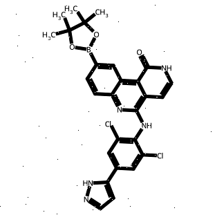 CC1(C)OB(c2ccc3nc(Nc4c(Cl)cc(-c5ccn[nH]5)cc4Cl)c4cc[nH]c(=O)c4c3c2)OC1(C)C